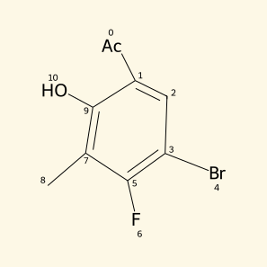 CC(=O)c1cc(Br)c(F)c(C)c1O